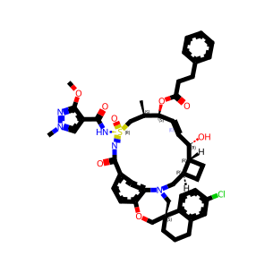 COc1nn(C)cc1C(=O)N[S@@]1(=O)=NC(=O)c2ccc3c(c2)N(C[C@@H]2CC[C@H]2[C@@H](O)/C=C/[C@H](OC(=O)CCc2ccccc2)[C@H](C)C1)C[C@@]1(CCCc2cc(Cl)ccc21)CO3